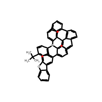 CC(C)(C)c1ccc(N(c2ccccc2-c2ccc3oc4ccccc4c3c2)c2ccccc2-c2cccc3cccc(-c4ccccc4)c23)cc1